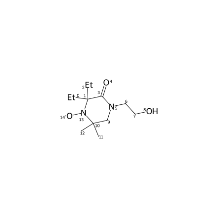 CCC1(CC)C(=O)N(CCO)CC(C)(C)N1[O]